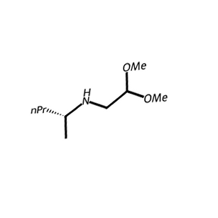 CCC[C@@H](C)NCC(OC)OC